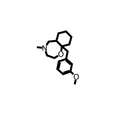 COc1cccc(CC23CCCCC2CN(C)CCO3)c1